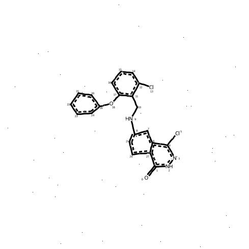 O=c1[nH]nc(Cl)c2cc(NCc3c(Cl)cccc3Oc3ccccc3)ccc12